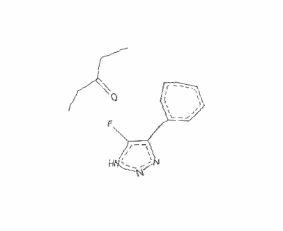 CCC(=O)CC.Fc1[nH]nnc1-c1ccccc1